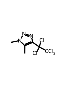 Cc1c(C(Cl)(Cl)C(Cl)(Cl)Cl)nnn1C